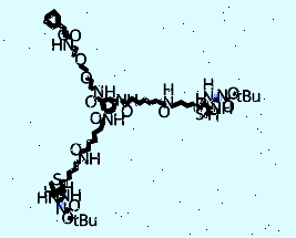 CC(C)(C)OC(=O)/N=C1\N[C@H]2[C@H](CS[C@H]2CCCCNC(=O)CCCCCC(=O)Nc2cc(NC(=O)CCCCCC(=O)NCCCC[C@@H]3SC[C@@H]4N/C(=N\C(=O)OC(C)(C)C)N[C@@H]43)cc(C(=O)NCCOCCOCCNC(=O)OCc3ccccc3)c2)N1